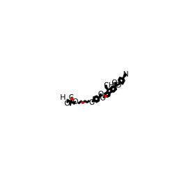 CCC1c2cc(OC(=O)c3ccc(OCCCCCCOCC4(CC)COC4)cc3)ccc2-c2ccc(C(=O)Oc3ccc(C#N)cc3)cc21